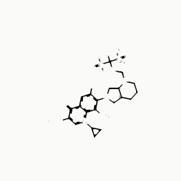 CC(OC(=O)N1CCC[C@H]2CN(c3c(F)cc4c(=O)c(C(=O)O)cn(C5CC5)c4c3C#N)C[C@H]21)(P(=O)(O)O)P(=O)(O)O